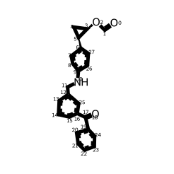 O=CO[C@@H]1C[C@@H]1c1ccc(NCc2cccc(C(=O)c3ccccc3)c2)cc1